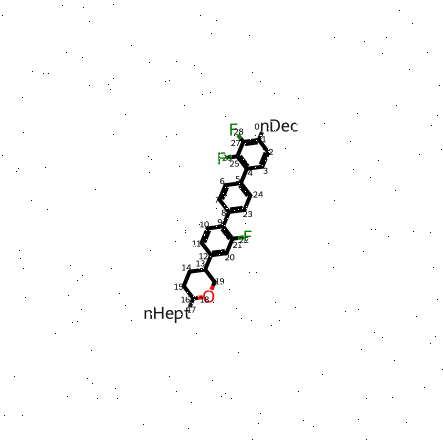 CCCCCCCCCCc1ccc(-c2ccc(-c3ccc(C4CCC(CCCCCCC)OC4)cc3F)cc2)c(F)c1F